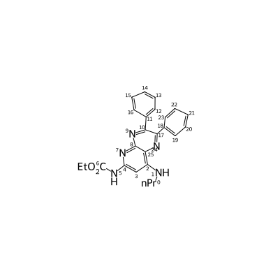 CCCNc1cc(NC(=O)OCC)nc2nc(-c3ccccc3)c(-c3ccccc3)nc12